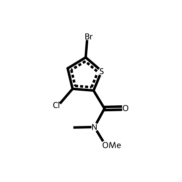 CON(C)C(=O)c1sc(Br)cc1Cl